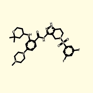 CN1CCN(c2ccc(C(=O)Nc3n[nH]c4c3CN(S(=O)(=O)c3cc(F)cc(F)c3)CC4)c(NC3CCOC(C)(C)C3)c2)CC1